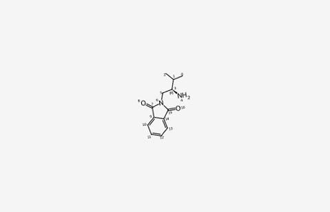 CC(C)[C@@H](N)CN1C(=O)c2ccccc2C1=O